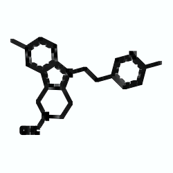 Cc1ccc2c(c1)c1c(n2CCc2ccc(C)nc2)CCN(C=O)C1